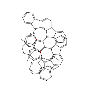 CC1(C)CCC(C)(C)c2c(-n3c4ncccc4c4cccnc43)c(-n3c4ccccc4c4ccc5c6ccccc6n(-c6ccccc6)c5c43)c(-n3c4ccccc4c4ccc5c6ccccc6n(-c6ccccc6)c5c43)c(C#N)c21